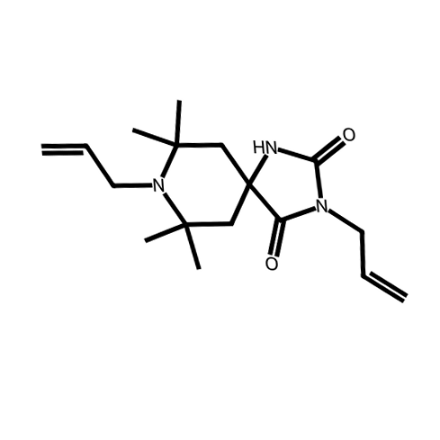 C=CCN1C(=O)NC2(CC(C)(C)N(CC=C)C(C)(C)C2)C1=O